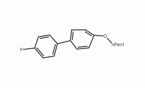 CCCCCOc1ccc(-c2ccc(F)cc2)cc1